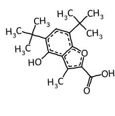 Cc1c(C(=O)O)oc2c(C(C)(C)C)cc(C(C)(C)C)c(O)c12